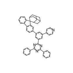 c1ccc(-c2nc(-c3ccccc3)nc(-c3cc(-c4ccncc4)cc(-c4ccc5c(c4)C4(c6ccccc6-5)C5CC6CC(C5)CC4C6)c3)n2)cc1